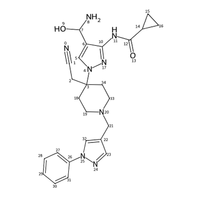 N#CCC1(n2cc(C(N)O)c(NC(=O)C3CC3)n2)CCN(Cc2cnn(-c3ccccc3)c2)CC1